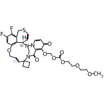 COCCOCCOC(=O)OCOc1c2n(ccc1=O)N1CN(C2=O)C2(/C=C/COc3cc(F)c(F)c4c3[C@H]1c1ccccc1SC4)CCC2